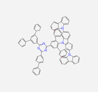 C1=CCC(c2cc(-c3ccccc3)cc(-c3nc(-c4ccc(-c5ccccc5)cc4)nc(-c4cc(-c5ccccc5)c(-n5c6cc(-n7c8ccccc8c8ccccc87)ccc6c6ccc(-n7c8ccccc8c8ccccc87)cc65)c(-c5ccccc5)c4)n3)c2)C=C1